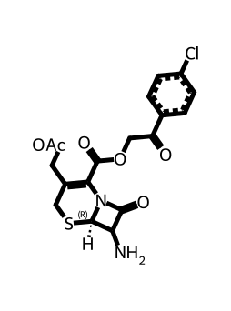 CC(=O)OCC1=C(C(=O)OCC(=O)c2ccc(Cl)cc2)N2C(=O)C(N)[C@H]2SC1